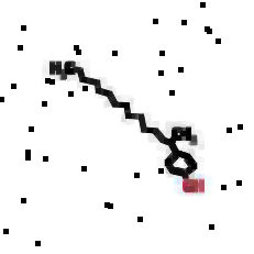 CCCCCCCCCCCCCC(C)c1ccc(O)cc1